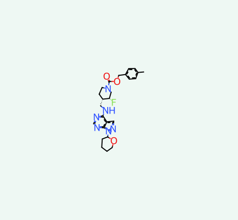 Cc1ccc(COC(=O)N2CC[C@@H](CNc3ncnc4c3cnn4C3CCCCO3)[C@@H](F)C2)cc1